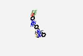 Cc1ccccc1N1CCS/C1=N\N=C\c1ccc(-c2ncn(-c3ccc(OC(F)(F)F)cc3)n2)cc1